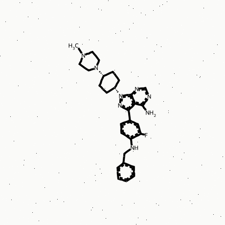 CN1CCN([C@H]2CC[C@@H](n3nc(-c4ccc(NCc5ccccc5)c(F)c4)c4c(N)ncnc43)CC2)CC1